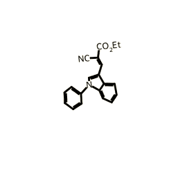 CCOC(=O)C(C#N)=Cc1cn(-c2ccccc2)c2ccccc12